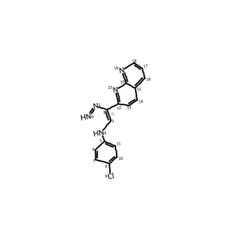 N=N/C(=C\Nc1ccc(Cl)cc1)c1ccc2cccnc2n1